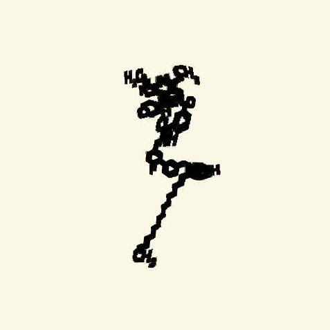 CCCCCCCCCCCCCCCCC12CCC(CN1Cc1cccc(-c3cc(CNC(=O)c4cccc(C(=O)NCc5c(CC)nc6c(cnn6CC)c5NC5CCOCC5)c4)ccc3F)c1)NC2